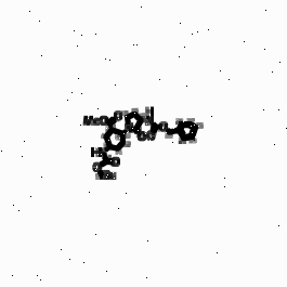 COC(=O)[C@@H]1C[C@H](NC(=O)OC(C)(C)C)CC[C@@H]1N1CC[C@H](NC(=O)OCc2ccccc2)C1=O